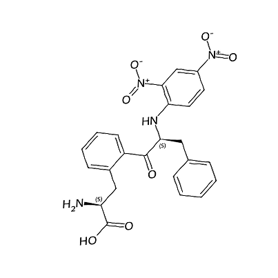 N[C@@H](Cc1ccccc1C(=O)[C@H](Cc1ccccc1)Nc1ccc([N+](=O)[O-])cc1[N+](=O)[O-])C(=O)O